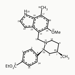 CCOC(=O)c1ccc([C@@H]2C[C@H](C)CCN2Cc2c(OC)cc(C)c3[nH]ccc23)cc1